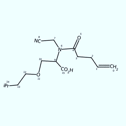 C=CCCC(=O)N(CC#N)C(COCCC(C)C)C(=O)O